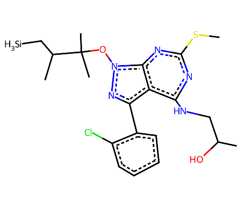 CSc1nc(NCC(C)O)c2c(-c3ccccc3Cl)nn(OC(C)(C)C(C)C[SiH3])c2n1